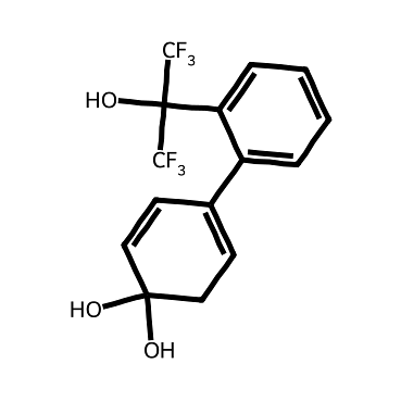 OC1(O)C=CC(c2ccccc2C(O)(C(F)(F)F)C(F)(F)F)=CC1